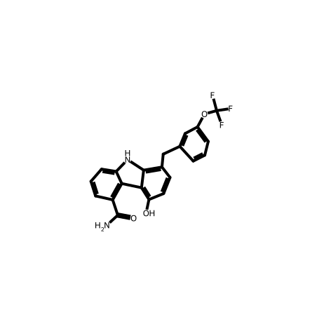 NC(=O)c1cccc2[nH]c3c(Cc4cccc(OC(F)(F)F)c4)ccc(O)c3c12